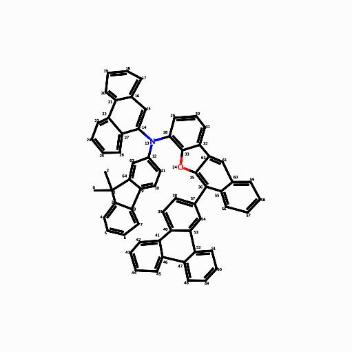 CC1(C)c2ccccc2-c2ccc(N(c3cc4ccccc4c4ccccc34)c3cccc4c3oc3c(-c5ccc6c7ccccc7c7ccccc7c6c5)c5ccccc5cc34)cc21